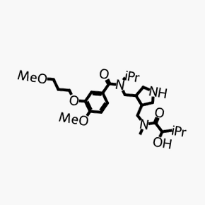 COCCCOc1cc(C(=O)N(CC2CNCC2CN(C)C(=O)C(O)C(C)C)C(C)C)ccc1OC